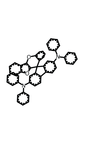 c1ccc(N(c2ccccc2)c2ccc3c(c2)C2(c4ccccc4Oc4c2oc2ccccc42)c2cc(N(c4ccccc4)c4ccccc4)ccc2-3)cc1